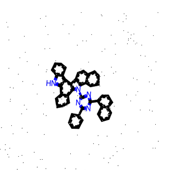 c1ccc(-c2nc(-c3cccc4ccccc34)nc(-n3c4c5ccccc5ccc4c4c5c6ccccc6[nH]c5c5ccccc5c43)n2)cc1